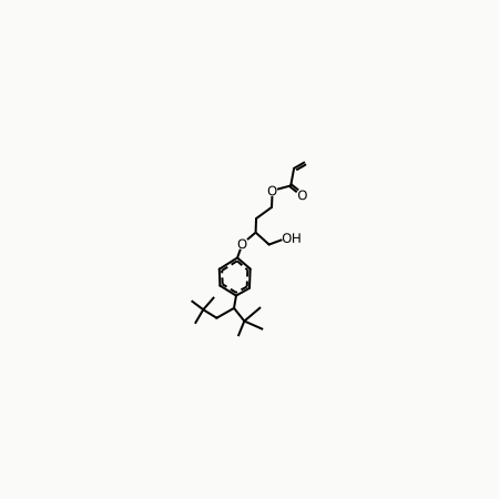 C=CC(=O)OCCC(CO)Oc1ccc(C(CC(C)(C)C)C(C)(C)C)cc1